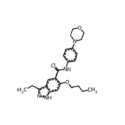 CCCCOc1cc2[nH]nc(CC)c2cc1C(=O)Nc1ccc(N2CCOCC2)cc1